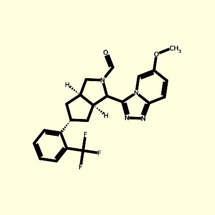 COc1ccc2nnc(C3[C@H]4C[C@H](c5ccccc5C(F)(F)F)C[C@H]4CN3C=O)n2c1